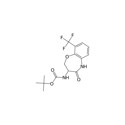 CC(C)(C)OC(=O)NC1COc2c(cccc2C(F)(F)F)NC1=O